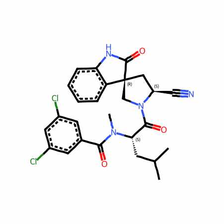 CC(C)C[C@@H](C(=O)N1C[C@]2(C[C@H]1C#N)C(=O)Nc1ccccc12)N(C)C(=O)c1cc(Cl)cc(Cl)c1